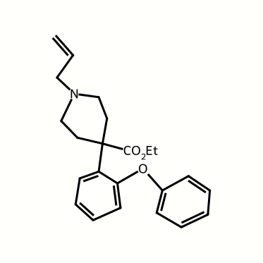 C=CCN1CCC(C(=O)OCC)(c2ccccc2Oc2ccccc2)CC1